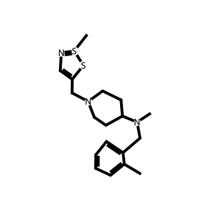 Cc1ccccc1CN(C)C1CCN(CC2=CN=S(C)S2)CC1